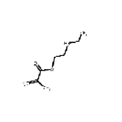 C=C(C)C(=O)OCCNCC(F)(F)F